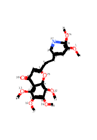 COc1cc(CCc2cc(=O)c3c(OC)c(OC)c(OC)c(OC)c3o2)cnc1OC